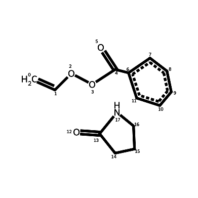 C=COOC(=O)c1ccccc1.O=C1CCCN1